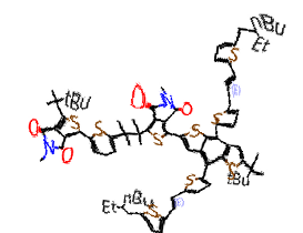 CCCCC(CC)Cc1ccc(/C=C/c2ccc(-c3c4cc(C(C)(C)C(C)(C)C)sc4c(-c4ccc(/C=C/c5ccc(CC(CC)CCCC)s5)s4)c4cc(-c5sc(C(C)(C)C(C)(C)c6ccc(-c7sc(C(C)(C)C(C)(C)C)c8c7C(=O)N(C)C8=O)s6)c6c5C(=O)N(C)C6=O)sc34)s2)s1